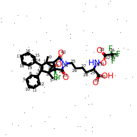 CC12C(=O)C(C)(C(c3ccccc3)=C1c1ccccc1)C1(Br)C(=O)N(CCCCC(NOC(=O)C(F)(F)F)C(=O)O)C(=O)C21